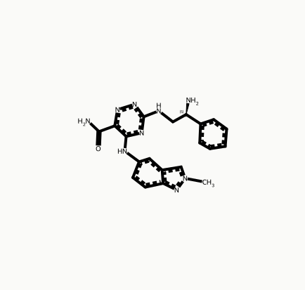 Cn1cc2cc(Nc3nc(NC[C@@H](N)c4ccccc4)nnc3C(N)=O)ccc2n1